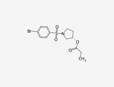 CCC(=O)O[C@H]1CCN(S(=O)(=O)c2ccc(Br)cc2)C1